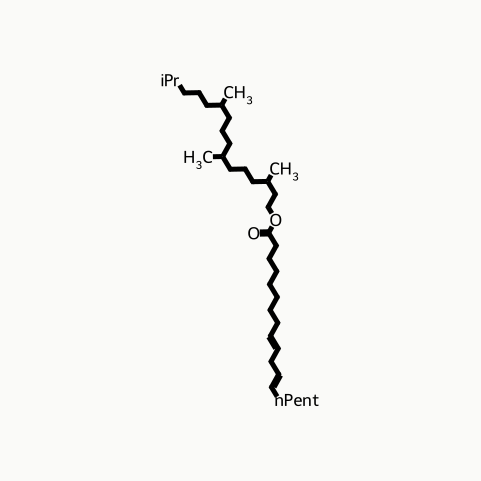 CCCCC/C=C/C/C=C/CCCCCCCC(=O)OCCC(C)CCCC(C)CCCC(C)CCCC(C)C